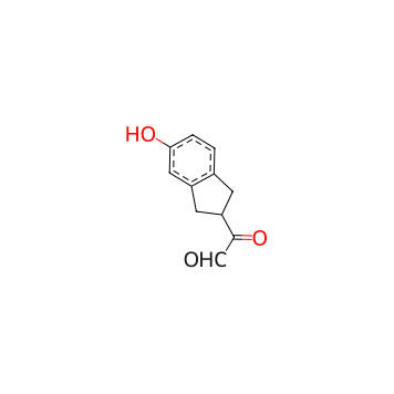 O=CC(=O)C1Cc2ccc(O)cc2C1